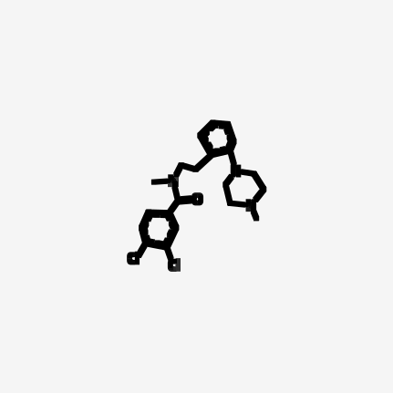 CN1CCN(c2ccccc2CCN(C)C(=O)c2ccc(Cl)c(Cl)c2)CC1